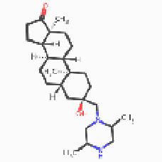 CC1CN(C[C@@]2(O)CC[C@@]3(C)[C@@H](CC[C@@H]4[C@@H]3CC[C@]3(C)C(=O)CC[C@@H]43)C2)C(C)CN1